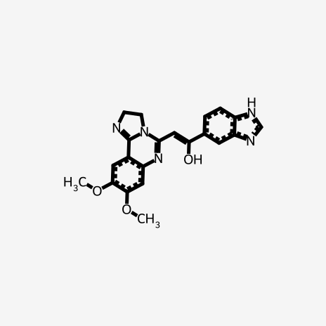 COc1cc2c(cc1OC)C1=NCCN1C(C=C(O)c1ccc3[nH]cnc3c1)=N2